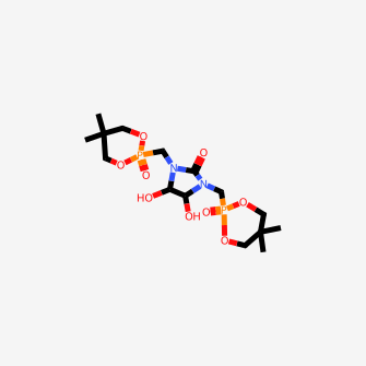 CC1(C)COP(=O)(CN2C(=O)N(CP3(=O)OCC(C)(C)CO3)C(O)C2O)OC1